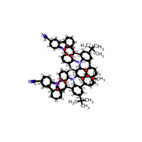 CC(C)(C)c1cc(-c2ccccc2)c(N2c3cc(-n4c5ccccc5c5cc(C#N)ccc54)ccc3B3c4ccc(-n5c6ccccc6c6cc(C#N)ccc65)cc4N(c4c(-c5ccccc5)cc(C(C)(C)C)cc4-c4ccccc4)c4cc(C(C)(C)C)cc2c43)c(-c2ccccc2)c1